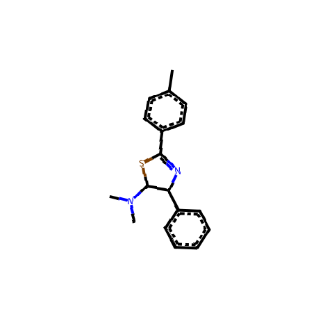 Cc1ccc(C2=NC(c3ccccc3)C(N(C)C)S2)cc1